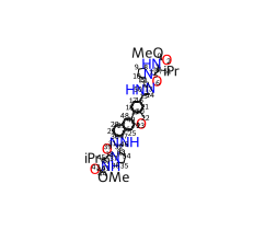 COC(=O)N[C@H](C(=O)N1CCC[C@H]1c1ncc(-c2ccc3c(c2)COc2cc4c(ccc5nc([C@@H]6CCCN6C(=O)[C@@H](NC(=O)OC)C(C)C)[nH]c54)cc2-3)[nH]1)C(C)C